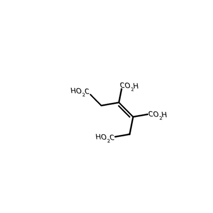 O=C(O)C/C(C(=O)O)=C(\CC(=O)O)C(=O)O